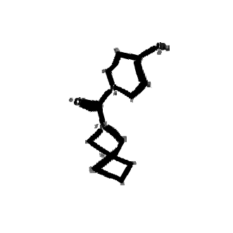 CC(C)(C)C1=CCN(C(=O)N2CC3(CCC3)C2)CC1